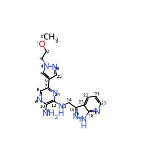 COCCn1cc(-c2cnc(N)c(NCc3n[nH]c4ncccc34)n2)cn1